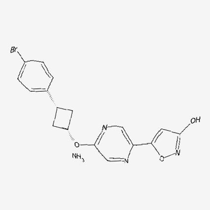 N.Oc1cc(-c2cnc(O[C@H]3C[C@@H](c4ccc(Br)cc4)C3)cn2)on1